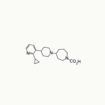 O=C(O)N1CCCC(N2CCC(c3cccnc3C3CC3)CC2)CC1